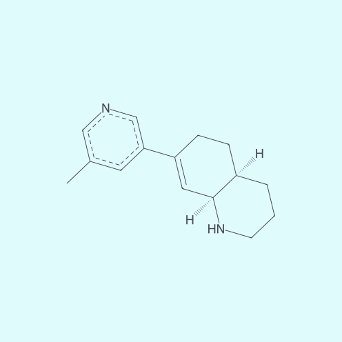 Cc1cncc(C2=C[C@@H]3NCCC[C@@H]3CC2)c1